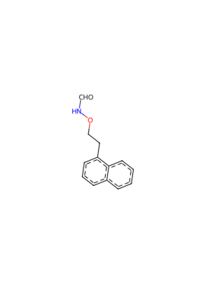 O=CNOCCc1cccc2ccccc12